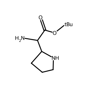 CC(C)(C)OC(=O)C(N)C1CCCN1